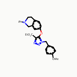 CCOC(=O)c1nnn(Cc2ccc(OC)cc2)c1Oc1ccc2c(c1)CN(C(C)C)CC2